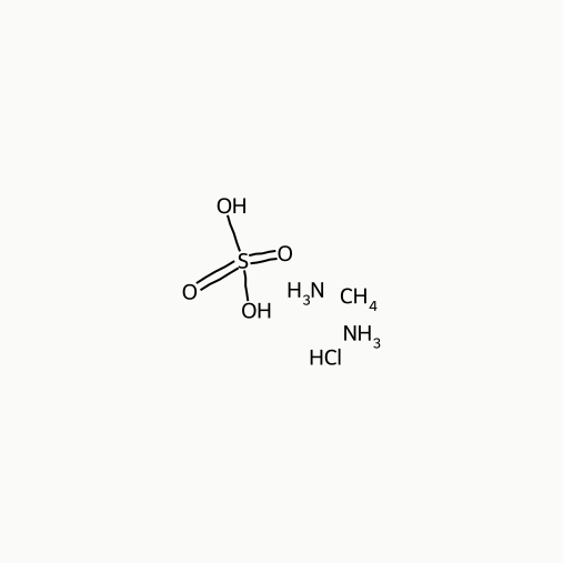 C.Cl.N.N.O=S(=O)(O)O